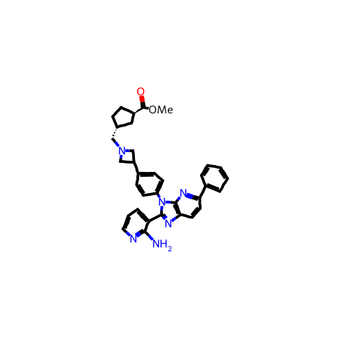 COC(=O)[C@@H]1CC[C@@H](CN2CC(c3ccc(-n4c(-c5cccnc5N)nc5ccc(-c6ccccc6)nc54)cc3)C2)C1